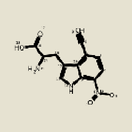 C#Cc1ccc([N+](=O)[O-])c2[nH]cc(CC(N)C(=O)O)c12